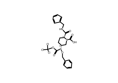 O=C(NCc1ccccc1)[C@@H]1CC[C@@H](N(OCc2ccccc2)C(=O)OC(Cl)(Cl)Cl)CN1C(=O)O